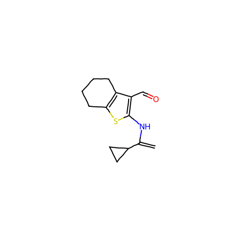 C=C(Nc1sc2c(c1C=O)CCCC2)C1CC1